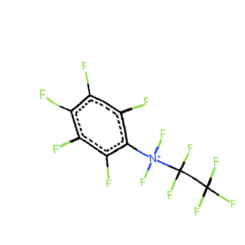 Fc1c(F)c(F)c([N+](F)(F)C(F)(F)C(F)(F)F)c(F)c1F